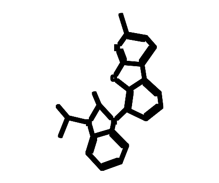 Cc1ccc2c(n1)oc1c(N3c4ccccc4N(C(C)C)C3C)cccc12